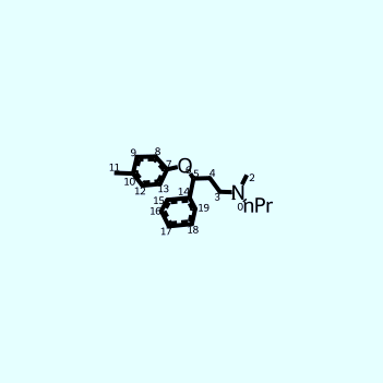 CCCN(C)CCC(Oc1ccc(C)cc1)c1ccccc1